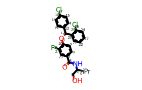 CC(C)C(CO)NC(=O)c1ccc(OC(c2ccc(Cl)cc2)c2ccccc2Cl)c(F)c1